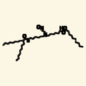 CCCCCCCCCC(O)OCCCCCCN(CCCCCCSC(=O)C(CCCCCCCC)CCCCCCCC)CCN=O